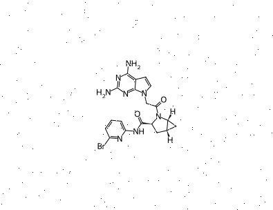 Nc1nc(N)c2ccn(CC(=O)N3[C@@H]4C[C@@H]4C[C@H]3C(=O)Nc3cccc(Br)n3)c2n1